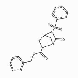 O=C(OCc1ccccc1)C1CC2CN1C(=O)N2S(=O)(=O)c1ccccc1